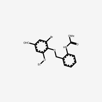 CCOc1cc(C=O)cc(Br)c1OCc1ccccc1NC(=O)OC